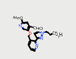 COc1cc(C=O)c(OCc2cccnc2-c2ccn(CCC(=O)O)n2)cn1